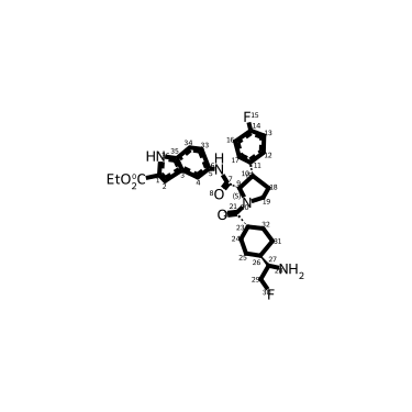 CCOC(=O)c1cc2cc(NC(=O)[C@@H]3[C@H](c4ccc(F)cc4)CCN3C(=O)[C@H]3CC[C@H](C(N)CF)CC3)ccc2[nH]1